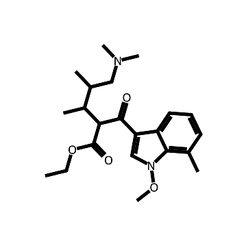 CCOC(=O)C(C(=O)c1cn(OC)c2c(C)cccc12)C(C)C(C)CN(C)C